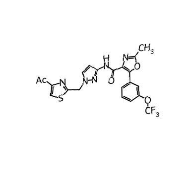 CC(=O)c1csc(Cn2ccc(NC(=O)c3nc(C)oc3-c3cccc(OC(F)(F)F)c3)n2)n1